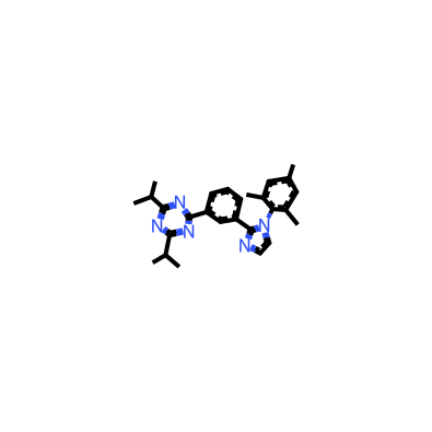 Cc1cc(C)c(-n2ccnc2-c2cccc(-c3nc(C(C)C)nc(C(C)C)n3)c2)c(C)c1